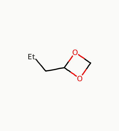 CCCC1OCO1